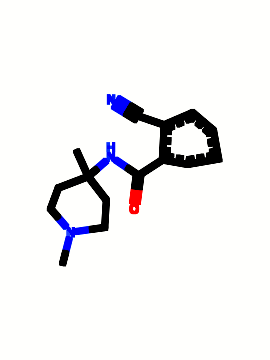 CN1CCC(C)(NC(=O)c2ccccc2C#N)CC1